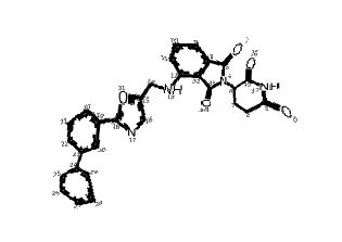 O=C1CCC(N2C(=O)c3cccc(NCc4cnc(-c5cccc(-c6ccccc6)c5)o4)c3C2=O)C(=O)N1